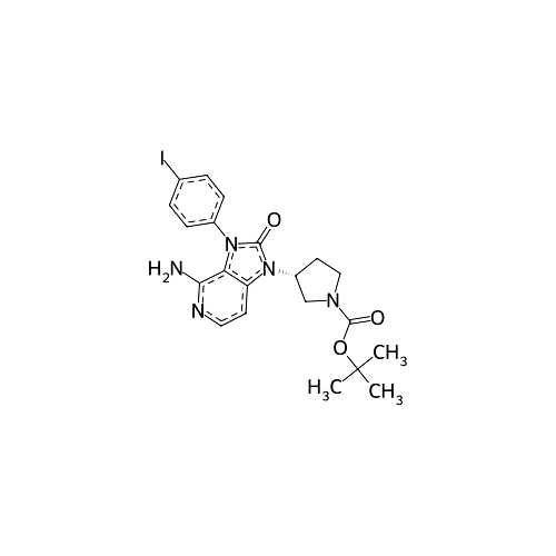 CC(C)(C)OC(=O)N1CC[C@@H](n2c(=O)n(-c3ccc(I)cc3)c3c(N)nccc32)C1